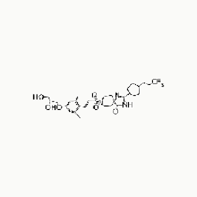 Cc1cc(OCC(O)CO)cc(C)c1C=CS(=O)(=O)N1CCC2(CC1)N=C(C1CCC(CCC(F)(F)F)CC1)NC2=O